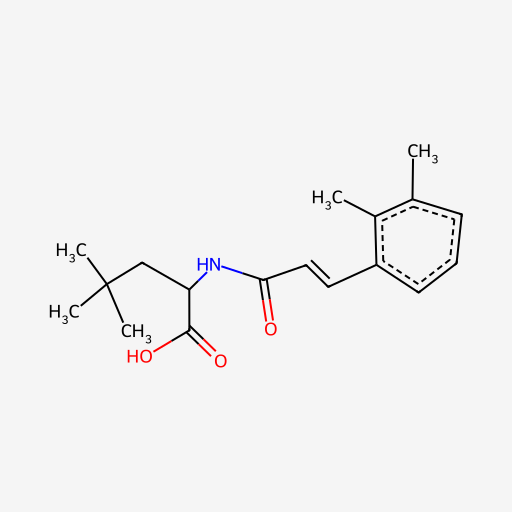 Cc1cccc(C=CC(=O)NC(CC(C)(C)C)C(=O)O)c1C